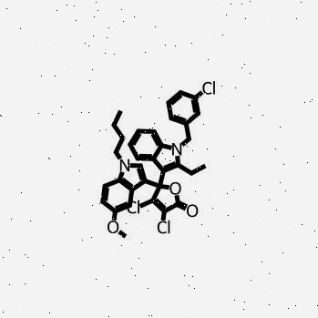 CCCCn1cc(C2(c3c(CC)n(Cc4cccc(Cl)c4)c4ccccc34)OC(=O)C(Cl)=C2Cl)c2cc(OC)ccc21